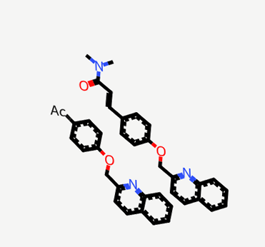 CC(=O)c1ccc(OCc2ccc3ccccc3n2)cc1.CN(C)C(=O)C=Cc1ccc(OCc2ccc3ccccc3n2)cc1